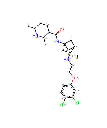 CC1CCC(C(=O)NC23CC(C2)[C@@H](NCCOc2ccc(Cl)c(Cl)c2)C3)C(C)N1